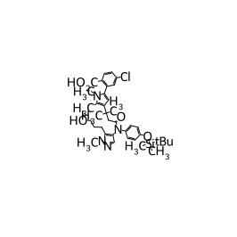 Cc1c(C(C)(C)CC(=O)N(c2ccc(O[Si](C)(C)C(C)(C)C)cc2)c2cnn(C)c2CCCO)cc(-c2cc(Cl)ccc2C(=O)O)n1C